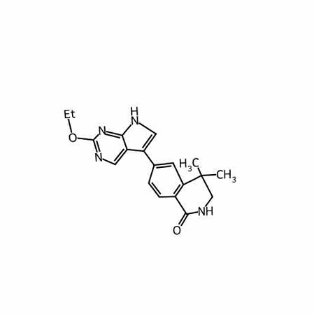 CCOc1ncc2c(-c3ccc4c(c3)C(C)(C)CNC4=O)c[nH]c2n1